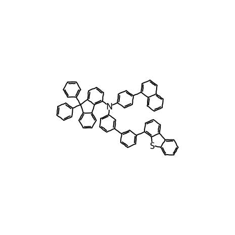 c1ccc(C2(c3ccccc3)c3ccccc3-c3c(N(c4ccc(-c5cccc6ccccc56)cc4)c4cccc(-c5cccc(-c6cccc7c6sc6ccccc67)c5)c4)cccc32)cc1